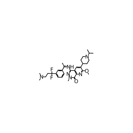 COc1nc2c(=O)n(C)nc(N[C@H](C)c3cccc(C(F)(F)CCN(C)C)c3)c2cc1C1CCN(C(C)C)CC1